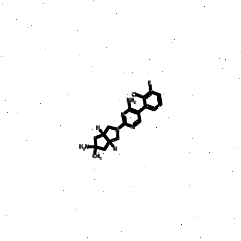 CC1(N)C[C@H]2CN(c3ncc(-c4cccc(F)c4Cl)c(N)n3)C[C@H]2C1